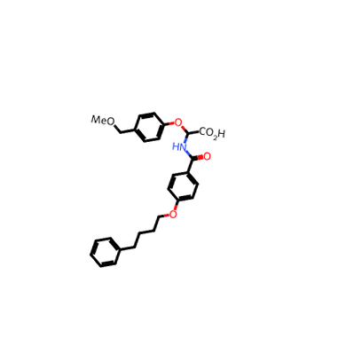 COCc1ccc(OC(NC(=O)c2ccc(OCCCCc3ccccc3)cc2)C(=O)O)cc1